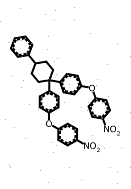 O=[N+]([O-])c1ccc(Oc2ccc(C3(c4ccc(Oc5ccc([N+](=O)[O-])cc5)cc4)CCC(c4ccccc4)CC3)cc2)cc1